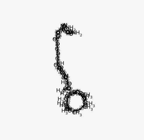 CO[C@H]1C[C@@H]2CC[C@@H](C)[C@@](O)(O2)C(=O)C(=O)N2CCCC[C@H]2C(=O)O[C@H]([C@H](N)C[C@@H]2CC[C@@H](OC(=O)NCc3cnc(N4CCN(c5ncc(C(=O)NCCOCCOCCOCCOCCC(=O)N6CCc7cc(Cn8nc(-c9ccc%10oc(N)nc%10c9)c9c(N)ncnc98)ccc7C6)cn5)CC4)nc3)[C@H](OC)C2)CC(=O)[C@H](C)/C=C(\C)[C@@H](O)[C@@H](OC)C(=O)[C@H](C)C[C@H](C)/C=C/C=C/C=C/1C